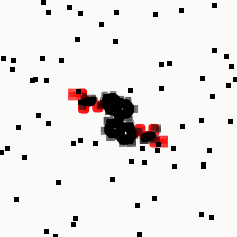 O=C(O)COC1CCC2CCCC(C3CCCC4CCC(OCC(=O)O)CC43)C2C1